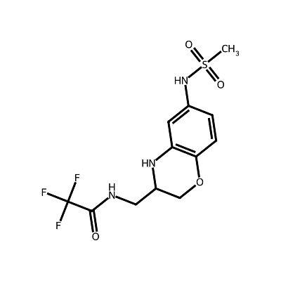 CS(=O)(=O)Nc1ccc2c(c1)NC(CNC(=O)C(F)(F)F)CO2